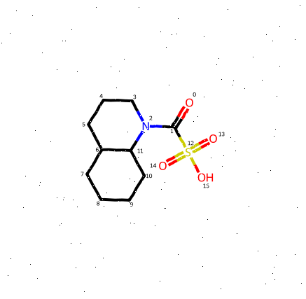 O=C(N1CCCC2CCCCC21)S(=O)(=O)O